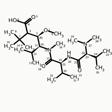 CO[C@H](C(C(=O)O)C(C)(C)C)[C@H](C(C)C)N(C)C(=O)[C@@H](NC(=O)[C@H](C(C)C)N(C)C)C(C)C